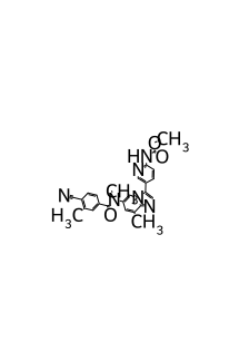 COC(=O)Nc1ccc(-c2cnc3c(C)cc(N(C)C(=O)c4ccc(C#N)c(C)c4)cn23)cn1